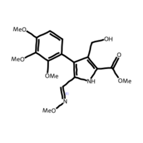 CO/N=C/c1[nH]c(C(=O)OC)c(CO)c1-c1ccc(OC)c(OC)c1OC